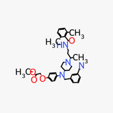 COC(=O)COc1ccc(N(Cc2cccc(C#N)c2)C2CCN(C(C)CCNC(=O)c3c(C)cccc3C)CC2)cc1